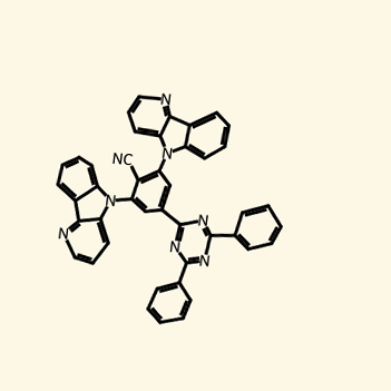 N#Cc1c(-n2c3ccccc3c3ncccc32)cc(-c2nc(-c3ccccc3)nc(-c3ccccc3)n2)cc1-n1c2ccccc2c2ncccc21